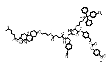 COc1ccc(C(NCCCC[C@H](NC(=O)C[C@H](Cc2ccc(C#N)cc2)NC(=O)CCC(=O)NCCCO[C@H]2CC[C@@]3(C)C(=CC[C@H]4[C@@H]5CC[C@H]([C@H](C)CCCC(C)C)[C@@]5(C)CC[C@@H]43)C2)C(=O)Nc2ccc(COC(=O)Oc3ccc([N+](=O)[O-])cc3)cc2)(c2ccccc2)c2ccccc2)cc1